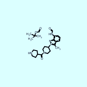 CC(C)(C)OC=O.Cc1c2cccc(NC=O)c2nn1C1CCN(C(=O)C2CCNCC2)CC1